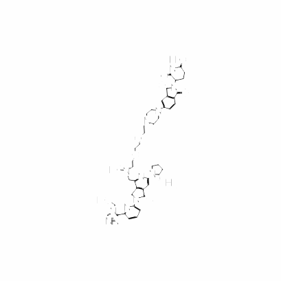 CCn1cnnc1-c1cccc(N2Cc3c(cc(N4CCC[C@H]4C)nc3CN(C)CCOCCOCCN3CCN(c4ccc5c(c4)C(=O)N(C4CCC(=O)NC4=O)C5=O)CC3)C2=O)n1